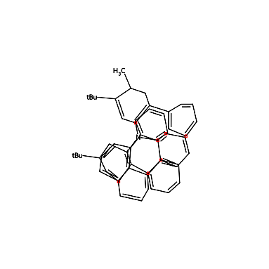 CC1CC(c2ccccc2)=C(N(c2cc(C(C)(C)C)ccc2-c2ccccc2)c2ccccc2-c2cccc3cccc(-c4ccccc4)c23)C=C1C(C)(C)C